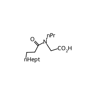 CCCCCCCCCC(=O)N(CCC)CC(=O)O